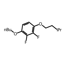 CCCCOc1ccc(OCCC(C)C)c(F)c1F